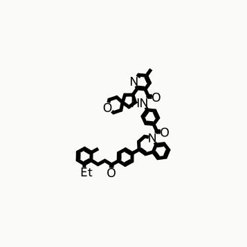 CCc1cccc(C)c1CCC(=O)c1ccc(C2=Cc3ccccc3N(C(=O)c3ccc(NC(=O)c4cc(C)cnc4C4CCC5(CCOCC5)C4)cc3)CC2)cc1